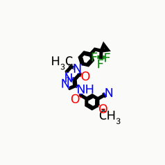 COc1ccc(C(=O)Nc2cnn3c2C(=O)N(c2ccc(CC4(C(F)(F)F)CC4)cc2)[C@@H](C)C3)cc1C#N